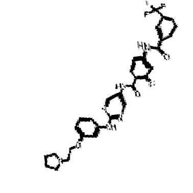 O=C(Nc1ccc(C(=O)Nc2cnc(Nc3cccc(OCCN4CCCC4)c3)nc2)c(Cl)c1)c1cccc(C(F)(F)F)c1